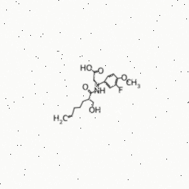 C=CCCCC(CO)C(=O)N[C@@H](CC(=O)O)c1ccc(OC)c(F)c1